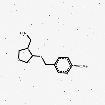 COc1ccc(CSC2COCC2CN)cc1